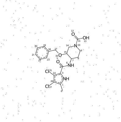 Cc1[nH]c(C(=O)NC2CCN(C(=O)O)CC2OCc2ccccc2)c(Cl)c1Cl